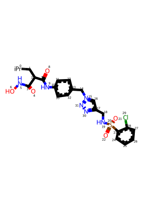 CC(C)CC(C(=O)NO)C(=O)Nc1ccc(Cn2cc(CNS(=O)(=O)c3ccccc3Cl)nn2)cc1